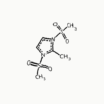 Cc1n(S(C)(=O)=O)cc[n+]1S(C)(=O)=O